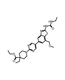 CCNC(=O)Nc1nc2cc(-c3cnc(N4CCC(CC)(C(=O)OCC)CC4)nc3)cc(COC)c2s1